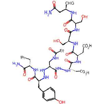 CCC(=O)NCC(NN[C@@H](Cc1ccc(O)cc1)C(=O)N[C@@H](CC(C)C)C(N)=O)C(=O)NN[C@@H](CC(=O)O)C(=O)NC(CC(=O)O)C(=O)N[C@@H](CO)C(=O)NC(CO)C(=O)N[C@H](C=O)CC(N)=O